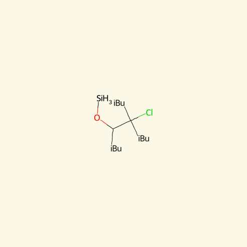 CCC(C)C(O[SiH3])C(Cl)(C(C)CC)C(C)CC